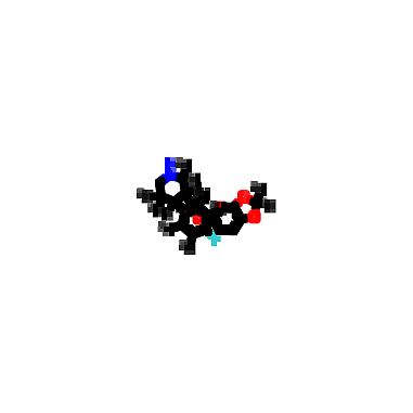 [2H]c1c([2H])c([C@]2([2H])C([2H])([2H])CNC([2H])([2H])C2([2H])C([2H])([2H])Oc2ccc3c(c2)OC([2H])([2H])O3)c([2H])c([2H])c1F